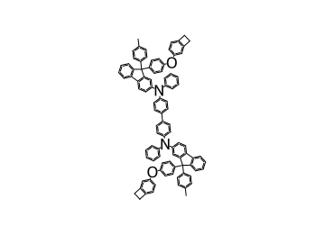 Cc1ccc(C2(c3ccc(Oc4ccc5c(c4)CC5)cc3)c3ccccc3-c3ccc(N(c4ccccc4)c4ccc(-c5ccc(N(c6ccccc6)c6ccc7c(c6)C(c6ccc(C)cc6)(c6ccc(Oc8ccc9c(c8)CC9)cc6)c6ccccc6-7)cc5)cc4)cc32)cc1